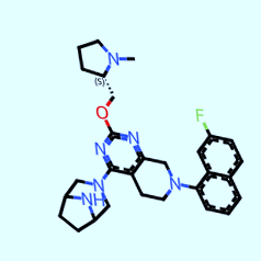 CN1CCC[C@H]1COc1nc2c(c(N3CC4CCC(C3)N4)n1)CCN(c1cccc3ccc(F)cc13)C2